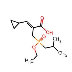 CCOP(=O)(CC(=CC1CC1)C(=O)O)CC(C)C